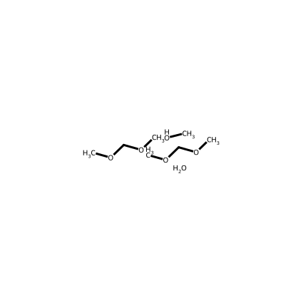 CO.COCOC.COCOC.O